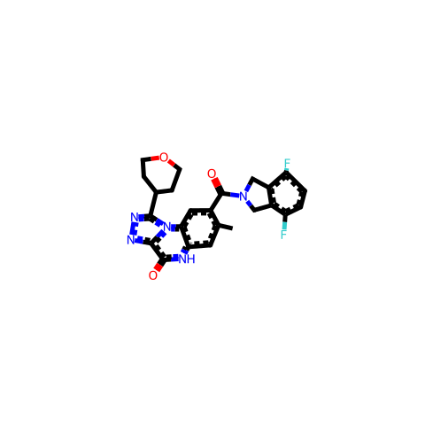 Cc1cc2[nH]c(=O)c3nnc(C4CCOCC4)n3c2cc1C(=O)N1Cc2c(F)ccc(F)c2C1